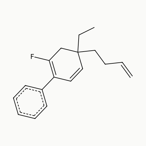 C=CCCC1(CC)C=CC(c2ccccc2)=C(F)C1